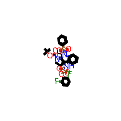 CC(C)(C)OC(=O)N1CC[C@]2(NS(=O)(=O)Oc3c(F)cccc3F)c3ccccc3N(S(=O)(=O)c3ccccc3)[C@H]12